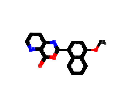 COc1ccc(-c2nc3cccnc3c(=O)o2)c2ccccc12